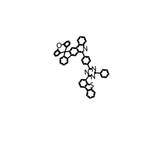 c1ccc(-c2nc(-c3ccc(-c4nc5ccccc5c5cc6c(cc45)-c4ccccc4C64c5ccccc5Oc5ccccc54)cc3)nc(-c3cccc4c3sc3ccccc34)n2)cc1